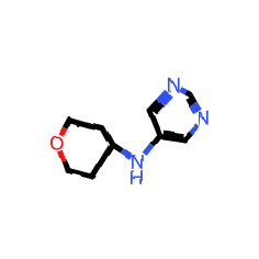 c1ncc(NC2CCOCC2)cn1